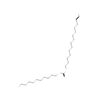 CCCCCCCCC=CCCCCCCCCCCCCOC(=O)OCCCCCCCCCCC(C)C